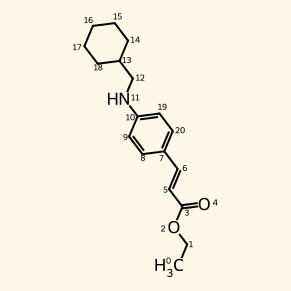 CCOC(=O)C=Cc1ccc(NCC2CCCCC2)cc1